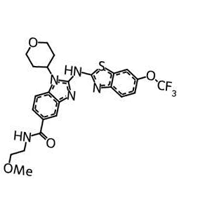 COCCNC(=O)c1ccc2c(c1)nc(Nc1nc3ccc(OC(F)(F)F)cc3s1)n2C1CCOCC1